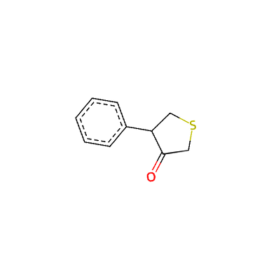 O=C1CSCC1c1ccccc1